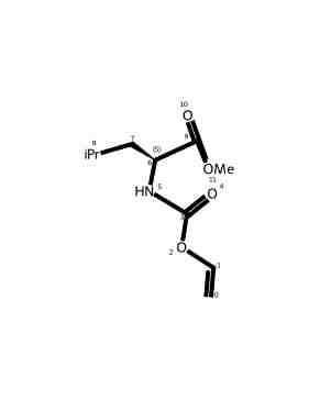 C=COC(=O)N[C@@H](CC(C)C)C(=O)OC